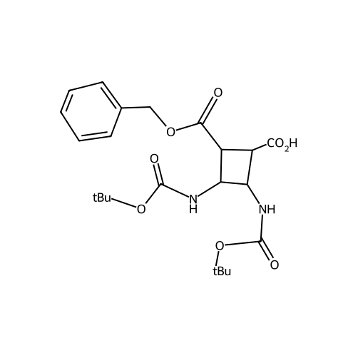 CC(C)(C)OC(=O)NC1C(NC(=O)OC(C)(C)C)C(C(=O)OCc2ccccc2)C1C(=O)O